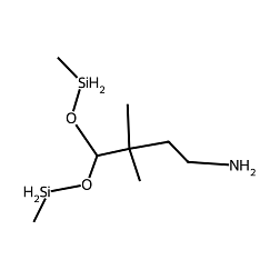 C[SiH2]OC(O[SiH2]C)C(C)(C)CCN